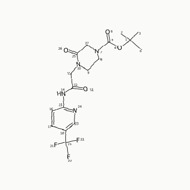 CC(C)(C)OC(=O)N1CCN(CC(=O)Nc2ccc(C(F)(F)F)cn2)C(=O)C1